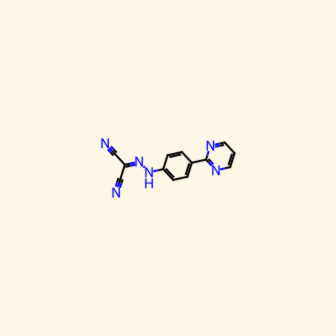 N#CC(C#N)=NNc1ccc(-c2ncccn2)cc1